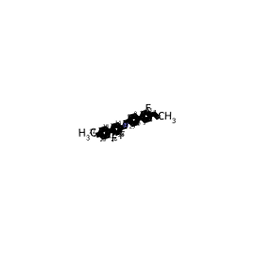 CCCc1ccc(-c2ccc(/C=C/c3ccc(-c4ccc(CC)cc4)c(F)c3F)cc2)cc1F